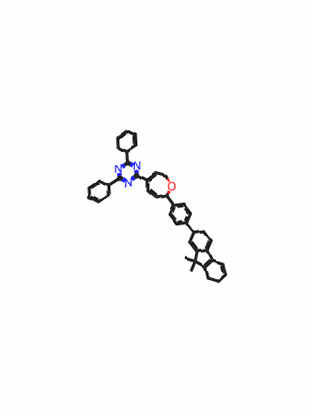 CC1(C)C2=CC(c3ccc(C4C=CC(c5nc(C6C=CC=CC6)nc(C6C=CC=CC6)n5)=CCO4)cc3)CC=C2C2=C1CCC=C2